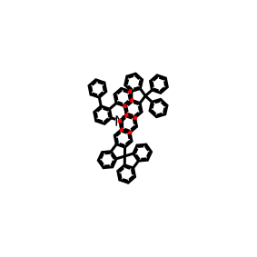 c1ccc(-c2ccccc2-c2c(-c3ccccc3)cccc2N(c2ccc3c(c2)-c2ccccc2C3(c2ccccc2)c2ccccc2)c2ccc3c(c2)-c2ccccc2C32c3ccccc3-c3ccccc32)cc1